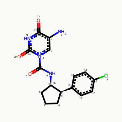 Nc1cn(C(=O)N[C@@H]2CCC[C@@H]2c2ccc(Cl)cc2)c(=O)[nH]c1=O